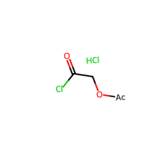 CC(=O)OCC(=O)Cl.Cl